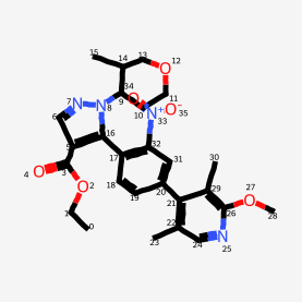 CCOC(=O)c1cnn(C2CCOCC2C)c1-c1ccc(-c2c(C)cnc(OC)c2C)cc1[N+](=O)[O-]